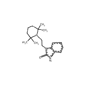 CC1(C)CCCC(C)(C)N1CCn1c(=O)[nH]c2ccccc21